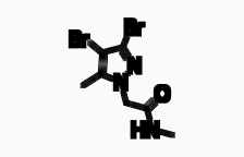 CNC(=O)Cn1nc(Br)c(Br)c1C